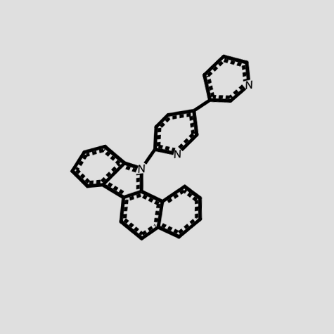 c1cncc(-c2ccc(-n3c4ccccc4c4ccc5ccccc5c43)nc2)c1